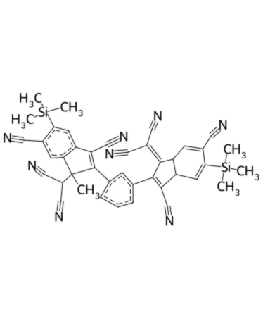 CC1(C(C#N)C#N)C(c2cccc(C3=C(C#N)C4C=C([Si](C)(C)C)C(C#N)=CC4C3=C(C#N)C#N)c2)=C(C#N)c2cc([Si](C)(C)C)c(C#N)cc21